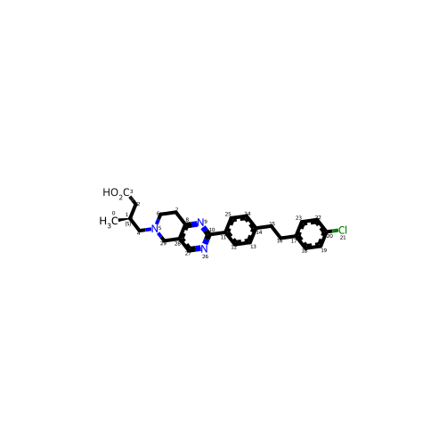 C[C@@H](CC(=O)O)CN1CCc2nc(-c3ccc(CCc4ccc(Cl)cc4)cc3)ncc2C1